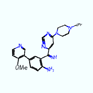 COc1ccncc1-c1ccc(N)c(C(=N)c2cc(N3CCN(C(C)C)CC3)ncn2)c1